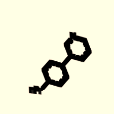 CCCc1ccc(-c2cccnc2)cc1